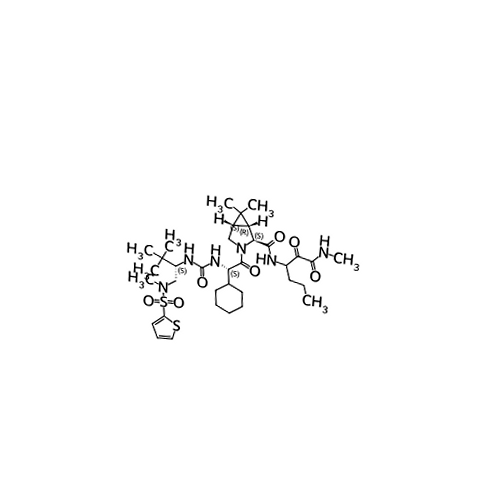 CCCC(NC(=O)[C@@H]1[C@@H]2[C@H](CN1C(=O)[C@@H](NC(=O)N[C@H](CN(C)S(=O)(=O)c1cccs1)C(C)(C)C)C1CCCCC1)C2(C)C)C(=O)C(=O)NC